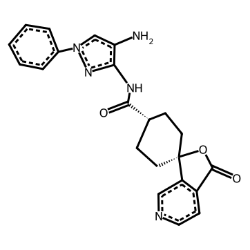 Nc1cn(-c2ccccc2)nc1NC(=O)[C@H]1CC[C@]2(CC1)OC(=O)c1ccncc12